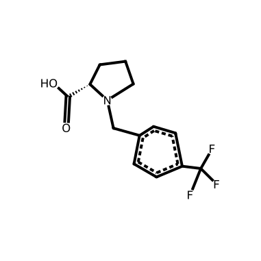 O=C(O)[C@@H]1CCCN1Cc1ccc(C(F)(F)F)cc1